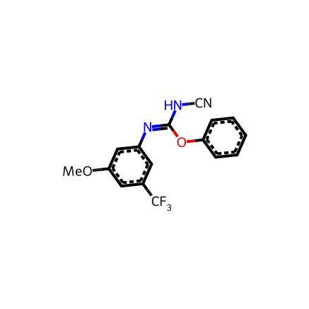 COc1cc(/N=C(/NC#N)Oc2ccccc2)cc(C(F)(F)F)c1